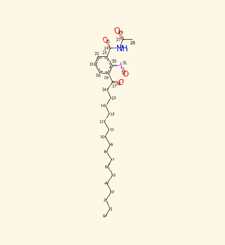 CCCCCCCCCCCCCCCCCC(=O)c1cccc(C(=O)NC(C)=O)c1I=O